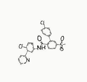 CS(=O)(=O)c1ccc(C(=O)Nc2ccc(Cl)c(-c3ccccn3)c2)c(-c2ccc(Cl)cc2)c1